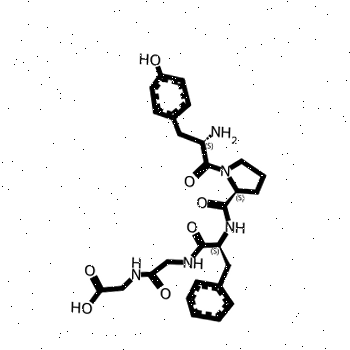 N[C@@H](Cc1ccc(O)cc1)C(=O)N1CCC[C@H]1C(=O)N[C@@H](Cc1ccccc1)C(=O)NCC(=O)NCC(=O)O